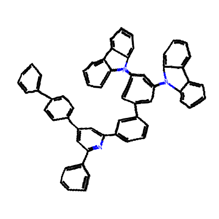 c1ccc(-c2ccc(-c3cc(-c4ccccc4)nc(-c4cccc(-c5cc(-n6c7ccccc7c7ccccc76)cc(-n6c7ccccc7c7ccccc76)c5)c4)c3)cc2)cc1